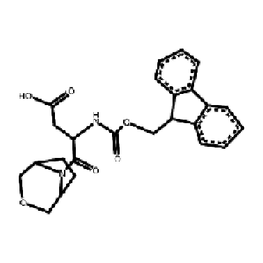 O=C(O)CC(NC(=O)OCC1c2ccccc2-c2ccccc21)C(=O)N1C2CCC1COC2